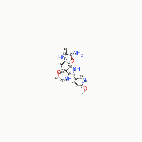 COc1ccc(-c2[nH]c3cc(N[C@@H](C)C(N)=O)cc4c3c2NCCO4)cn1